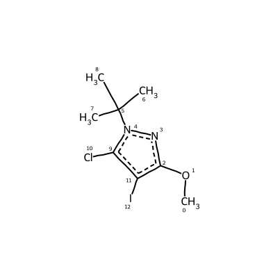 COc1nn(C(C)(C)C)c(Cl)c1I